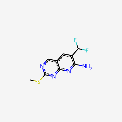 CSc1ncc2cc(C(F)F)c(N)nc2n1